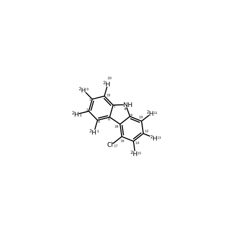 [2H]c1c([2H])c([2H])c2c([nH]c3c([2H])c([2H])c([2H])c(Cl)c32)c1[2H]